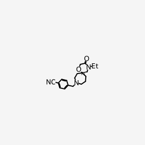 CCN1C[C@]2(CCCN(Cc3ccc(C#N)cc3)CC2)OCC1=O